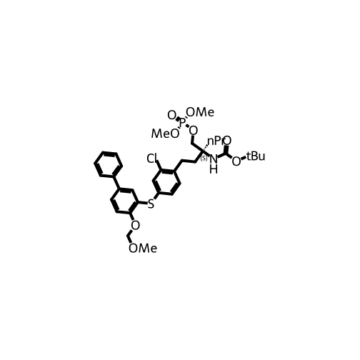 CCC[C@](CCc1ccc(Sc2cc(-c3ccccc3)ccc2OCOC)cc1Cl)(COP(=O)(OC)OC)NC(=O)OC(C)(C)C